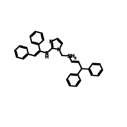 B(C(=Cc1ccccc1)c1ccccc1)c1nccn1C[SiH2]C=CC(c1ccccc1)c1ccccc1